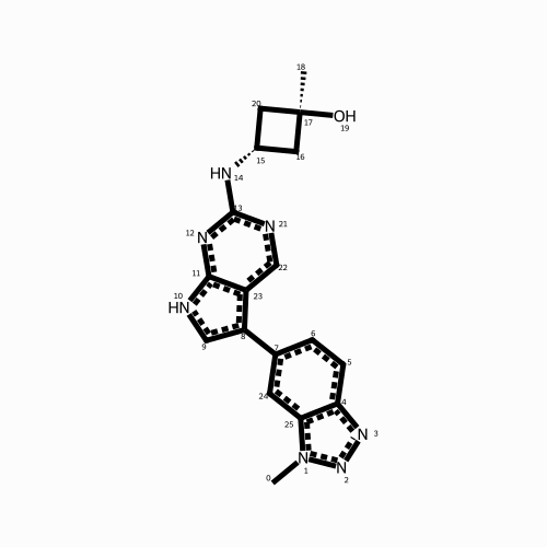 Cn1nnc2ccc(-c3c[nH]c4nc(N[C@H]5C[C@](C)(O)C5)ncc34)cc21